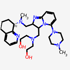 CN1CCN(C2=CC=CC3=NC(CN(C)[C@H]4CCCc5cccnc54)C(CN(CCO)CCO)N23)CC1